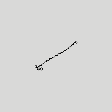 O=C1C=CC(=O)N1CCCCCCCCCCCCCCCCCCCCCCCCCCC[S]